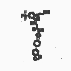 O=C(CNc1nn(CCO)c2ccc(C(F)(F)F)cc12)NC1CN([C@H]2CC[C@@H](c3ccc4c(c3)OCO4)CC2)C1